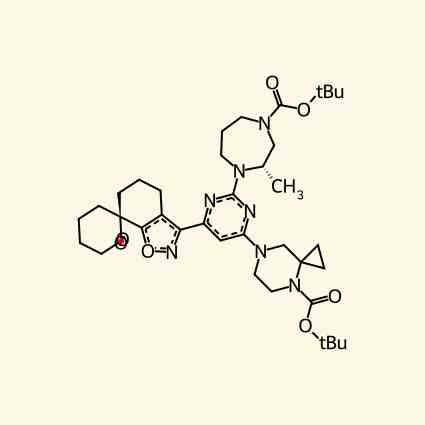 C[C@H]1CN(C(=O)OC(C)(C)C)CCCN1c1nc(-c2noc3c2CCC[C@@]32CCCCC23OCCO3)cc(N2CCN(C(=O)OC(C)(C)C)C3(CC3)C2)n1